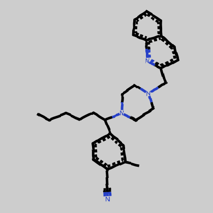 CCCCCC(c1ccc(C#N)c(C)c1)N1CCN(Cc2ccc3ccccc3n2)CC1